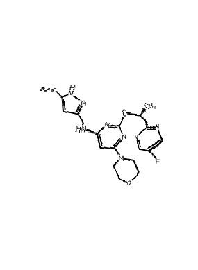 COc1cc(Nc2cc(N3CCOCC3)nc(O[C@@H](C)c3ncc(F)cn3)n2)n[nH]1